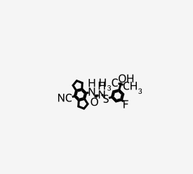 CC(C)(O)c1cc(F)cc(SNC(=O)Nc2c3c(c(C#N)c4c2CCC4)CCC3)c1